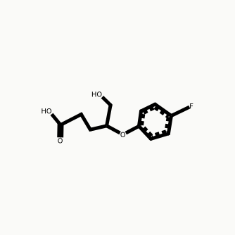 O=C(O)CCC(CO)Oc1ccc(F)cc1